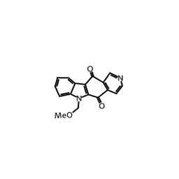 COCn1c2c(c3ccccc31)C(=O)c1cnccc1C2=O